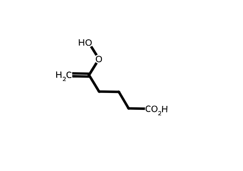 C=C(CCCC(=O)O)OO